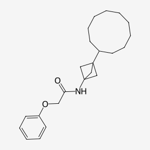 O=C(COc1ccccc1)NC12CC(C3CCCCCCCCC3)(C1)C2